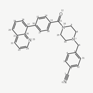 N#Cc1ccc(CN2CCN(C(=O)c3ccc(-c4cccc5cccnc45)cc3)CC2)cc1